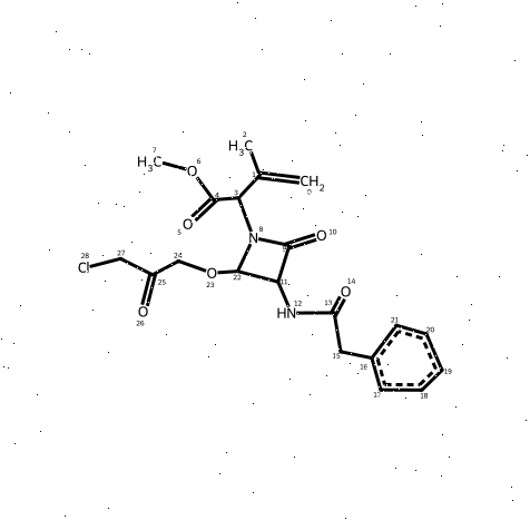 C=C(C)C(C(=O)OC)N1C(=O)C(NC(=O)Cc2ccccc2)C1OCC(=O)CCl